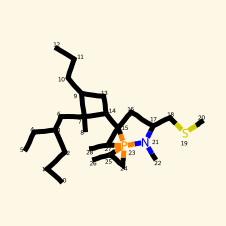 CCCC(CC)CC1(C)C(CCC)CC1C12CC(CSC)N(C)P13(CC3C)C2C